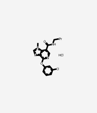 CC(C)CNC(=O)c1cnc(Oc2cccc(Cl)c2)c2ncn(C)c12.Cl